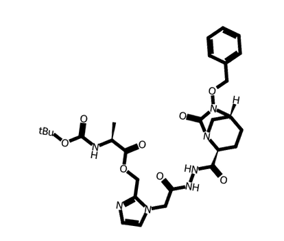 C[C@H](NC(=O)OC(C)(C)C)C(=O)OCc1nccn1CC(=O)NNC(=O)[C@@H]1CC[C@@H]2CN1C(=O)N2OCc1ccccc1